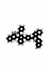 C1=Cc2c(ccc3c(-c4ccc(-c5cc6c(c7ccccc57)-c5cc7ccccc7cc5NC6c5ccccc5)cc4)nc4c5ccccc5ccc4c23)CC1